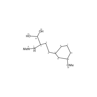 CNNC(CCC1CCCC(OC)C1)C(O)O